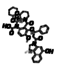 COc1ccc2c(c1O[C@H](CC(=O)N1C[C@@H](C)c3c1cc(O)c1ccccc31)c1ccccc1)C(=O)N1CCCC[C@H]1C(OC1CCCCO1)N2C(=O)O